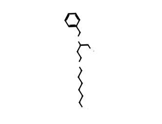 CCCCCCCCCCCCCCCCOCCC(CO)OCc1ccccc1